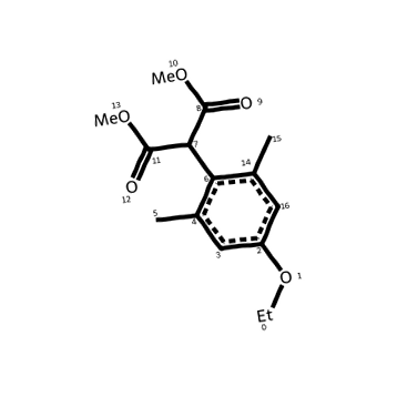 CCOc1cc(C)c(C(C(=O)OC)C(=O)OC)c(C)c1